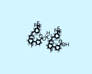 CCOC(=O)c1cccc(-c2c(F)ccc3cc(Cc4cccc(C(F)(F)F)c4)sc23)c1.O=C(O)c1cccc(-c2c(F)ccc3cc(Cc4cccc(C(F)(F)F)c4)sc23)c1